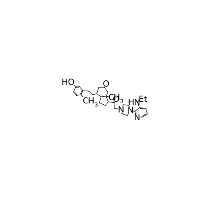 CCNc1cccnc1N1CCN(CC(=O)C2CCC3C(CCc4cc(O)ccc4C)CC(=O)CC23C)CC1